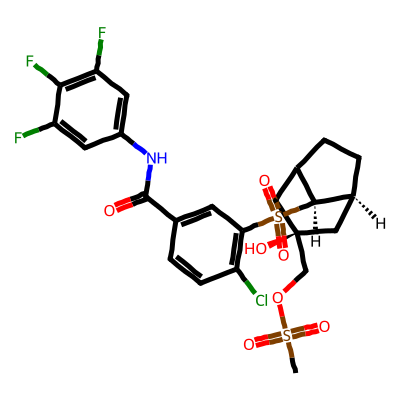 CS(=O)(=O)OC[C@]1(O)CC2CC[C@@H](C1)[C@H]2S(=O)(=O)c1cc(C(=O)Nc2cc(F)c(F)c(F)c2)ccc1Cl